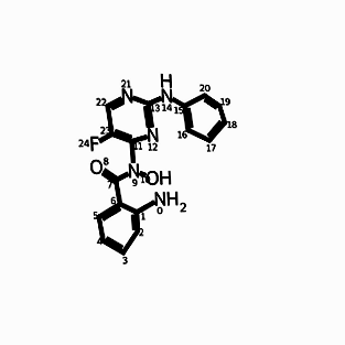 Nc1ccccc1C(=O)N(O)c1nc(Nc2ccccc2)ncc1F